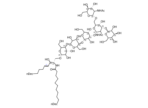 CCCCCCCCCCCCC/C=C/[C@@H](O)[C@H](CO[C@@H]1OC(CO)[C@@H](O[C@@H]2OC(CO)[C@H](O[C@@H]3OC(CO)[C@H](O)[C@H](O[C@@H]4OC(CO[C@@H]5OC(CO)[C@@H](O)[C@H](O)C5NC(C)=O)[C@H](O)[C@H](O[C@@H]5OC(CO)[C@H](O)[C@H](O)C5O)C4NC(C)=O)C3O)[C@H](O)C2O)[C@H](O)C1O)NC(=O)CCCCCCCCCCCCCCCCCCC